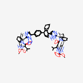 COC(=O)N[C@H](C(=O)N1[C@@H]2CC[C@@H](C2)[C@H]1c1ncc(-c2ccc(-c3ccc(-c4cnc([C@@H]5[C@H]6CC[C@H](C6)N5C(=O)[C@@H](NC(=O)OC)C(C)C)[nH]4)c4c3C3CCC4C3)cc2)[nH]1)C(C)C